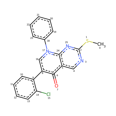 CSc1ncc2c(=O)c(-c3ccccc3Cl)cn(-c3ccccc3)c2n1